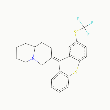 FC(F)(F)Sc1ccc2c(c1)/C(=C1\CCC3CCCCN3C1)c1ccccc1S2